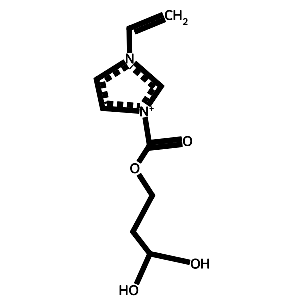 C=Cn1cc[n+](C(=O)OCCC(O)O)c1